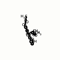 CCCCOC(=O)CCC(=O)N1CCC(N2CCN(C(=O)[C@@H](Cc3cc(C)c4c(c3)oc(=O)n4C)OC(=O)N3CCC(N4CCc5ccccc5NC4=O)CC3)CC2)CC1